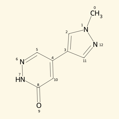 Cn1cc(-c2cn[nH]c(=O)c2)cn1